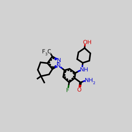 CC1(C)CCc2c(C(F)(F)F)nn(-c3cc(F)c(C(N)=O)c(NC4CCC(O)CC4)c3)c2C1